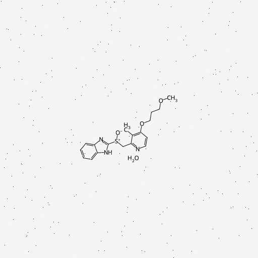 COCCCOc1ccnc(C[S+]([O-])c2nc3ccccc3[nH]2)c1C.O